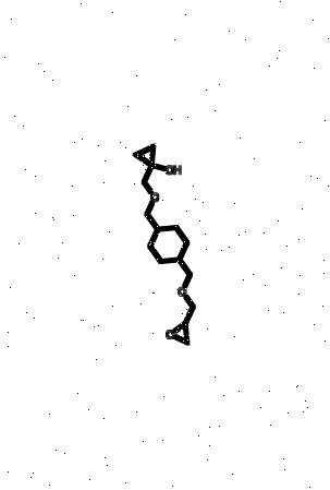 OC1(COCC2CCC(COCC3CO3)CC2)CC1